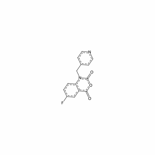 O=c1oc(=O)n(Cc2ccncc2)c2ccc(F)cc12